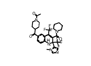 CC(=O)N1CCC(C(=O)c2ccc3c(c2)C(C(F)(F)F)=C(C(=O)N2CCCCC2)C(c2cncn2C)(C(F)(F)F)N3)CC1